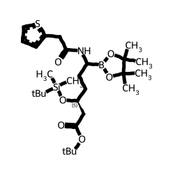 CC(C)(C)OC(=O)C[C@H](CCC(NC(=O)Cc1cccs1)B1OC(C)(C)C(C)(C)O1)O[Si](C)(C)C(C)(C)C